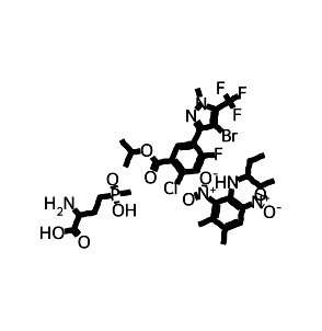 CC(C)OC(=O)c1cc(-c2nn(C)c(C(F)(F)F)c2Br)c(F)cc1Cl.CCC(CC)Nc1c([N+](=O)[O-])cc(C)c(C)c1[N+](=O)[O-].CP(=O)(O)CCC(N)C(=O)O